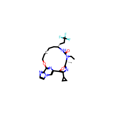 CCN1C(=O)N[C@@H](CCC(F)(F)F)CCCCCOc2nc(cn3ccnc23)-c2oc(nc2C2CC2)[C@H]1C